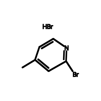 Br.Cc1ccnc(Br)c1